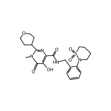 Cn1c(C2CCOCC2)nc(C(=O)NCc2ccccc2N2CCCCS2(=O)=O)c(O)c1=O